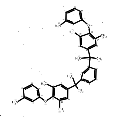 Cc1cc(C(C)(C)c2cccc(C(C)(C)c3cc(C)c(Oc4cccc(N)c4)c(C)c3)c2)cc(C)c1Oc1cccc(N)c1